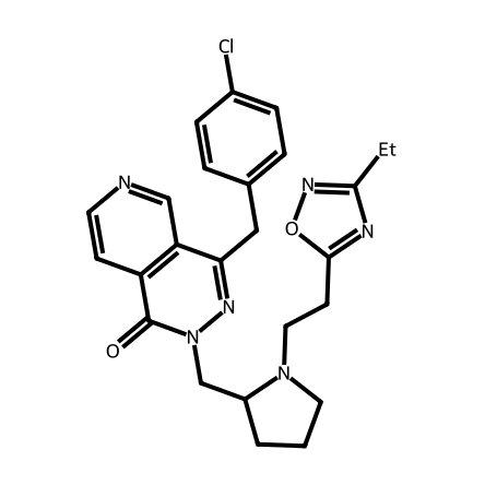 CCc1noc(CCN2CCCC2Cn2nc(Cc3ccc(Cl)cc3)c3cnccc3c2=O)n1